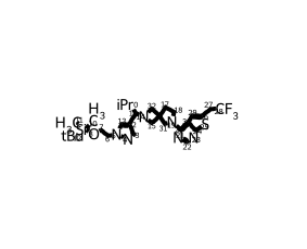 CC(C)C(c1cnn(CCO[Si](C)(C)C(C)(C)C)c1)N1CC2(CCN(c3ncnc4sc(CC(F)(F)F)cc34)C2)C1